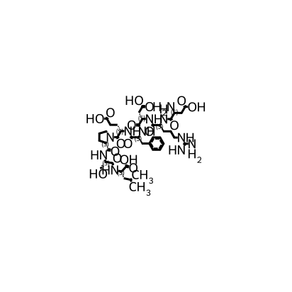 CC(C)C[C@H](NC(=O)[C@H](CO)NC(=O)[C@@H]1CCCN1C(=O)[C@H](CCC(=O)O)NC(=O)[C@H](Cc1ccccc1)NC(=O)[C@H](CC(=O)O)NC(=O)[C@H](CCCNC(=N)N)NC(=O)[C@@H](N)CC(=O)O)C(=O)O